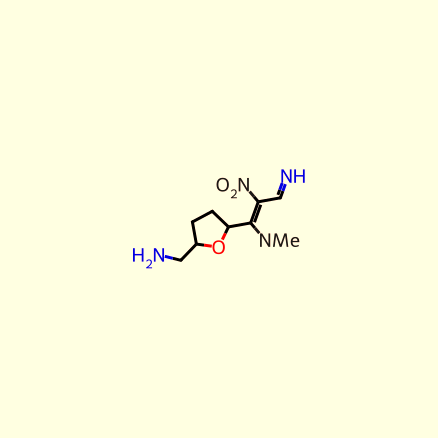 CN/C(=C(\C=N)[N+](=O)[O-])C1CCC(CN)O1